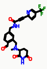 CN(Cc1cc(CNC(=O)C#Cc2ccc(C(F)(F)F)cn2)ccc1C=O)C1CCC(=O)NC1=O